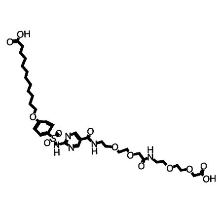 O=C(O)CCCCCCCCCCCOc1ccc(S(=O)(=O)Nc2ncc(C(=O)NCCOCCOCC(=O)NCCOCCOCC(=O)O)cn2)cc1